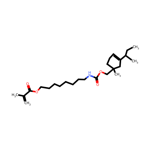 C=C(C)C(=O)OCCCCCCCCNC(=O)OCC1(C)CCC=C(C(C)CC)C1